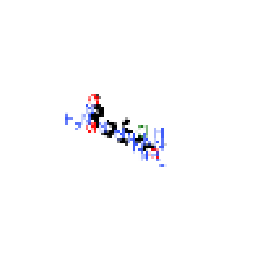 CC[C@H]1CN(c2nc(N)c(C(=O)NC)nc2Cl)CCN1C1CCN(C(=O)c2ccc(OC)nc2N)CC1